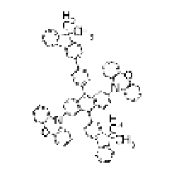 CC1(C)c2ccccc2-c2cc(-c3ccc(-c4c5ccc(N6c7ccccc7Oc7ccccc76)cc5c(-c5ccc6c(c5)C(C)(C)c5ccccc5-6)c5ccc(N6c7ccccc7Oc7ccccc76)cc45)cc3)ccc21